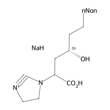 CCCCCCCCCCC[C@H](O)CC(C(=O)O)N1C#[N+]CC1.[NaH]